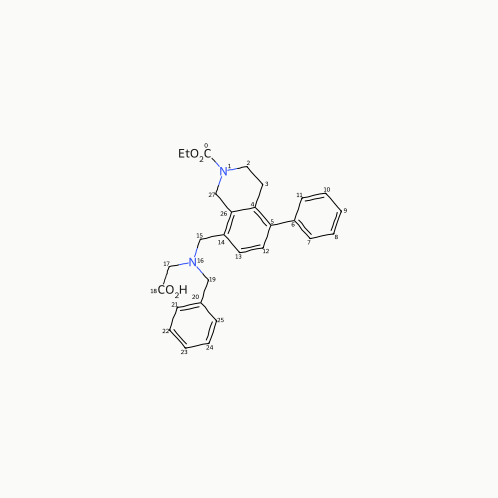 CCOC(=O)N1CCc2c(-c3ccccc3)ccc(CN(CC(=O)O)Cc3ccccc3)c2C1